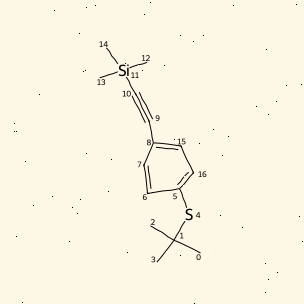 CC(C)(C)Sc1ccc(C#C[Si](C)(C)C)cc1